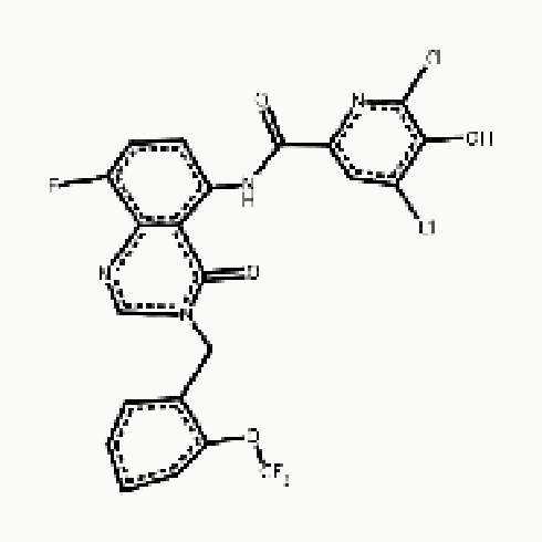 O=C(Nc1ccc(F)c2ncn(Cc3ccccc3OC(F)(F)F)c(=O)c12)c1cc(Cl)c(O)c(Cl)n1